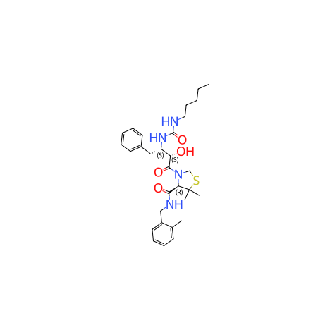 CCCCCNC(=O)N[C@@H](Cc1ccccc1)[C@H](O)C(=O)N1CSC(C)(C)[C@H]1C(=O)NCc1ccccc1C